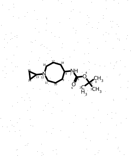 CC(C)(C)OC(=O)NC1CCCN(C2CC2)CCC1